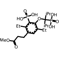 CCc1cc(CCC(=O)OC)c(CC)c(P(=O)(O)O)c1OC(C(C)C)(C(C)C)P(=O)(O)O